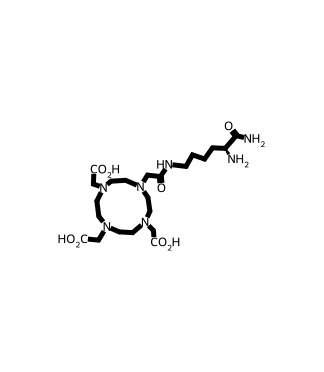 NC(=O)[C@@H](N)CCCCNC(=O)CN1CCN(CC(=O)O)CCN(CC(=O)O)CCN(CC(=O)O)CC1